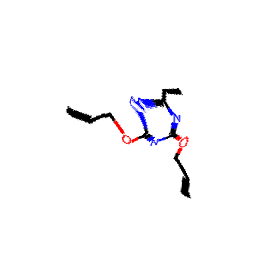 C=CCOc1nc(C=C)nc(OCC=C)n1